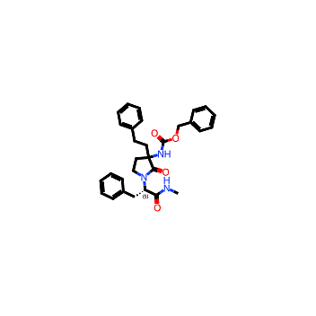 CNC(=O)[C@H](Cc1ccccc1)N1CCC(CCc2ccccc2)(NC(=O)OCc2ccccc2)C1=O